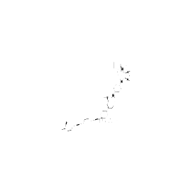 C#CC(=C)/C=C\CC#CC/C=C\CC#CC1(OC(C)=O)CCC(/C(C=C)=C/C=C(\C)OC(=O)C2CCC(C(=O)OC(C)(C)CC(C)(C)OC(=O)CC)CC2)CC1